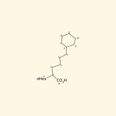 CCCCCCC(CCCCC1CCCCC1)C(=O)O